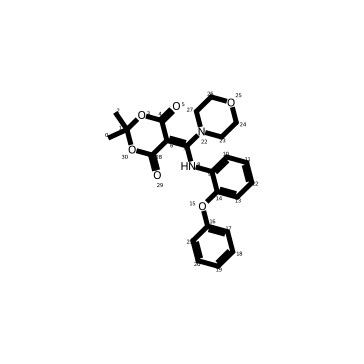 CC1(C)OC(=O)C(=C(Nc2ccccc2Oc2ccccc2)N2CCOCC2)C(=O)O1